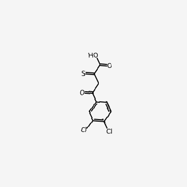 O=C(O)C(=S)CC(=O)c1ccc(Cl)c(Cl)c1